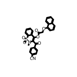 CN1C(C(=O)c2ccc(C#N)cc2)=C(OC(=O)COc2cccc3ccccc23)c2ccccc2S1(=O)=O